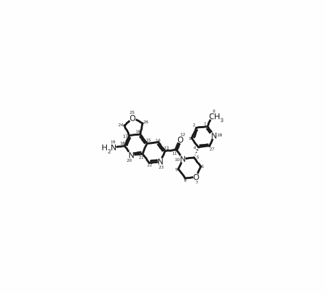 Cc1ccc([C@@H]2COCCN2C(=O)c2cc3c4c(c(N)nc3cn2)COC4)cn1